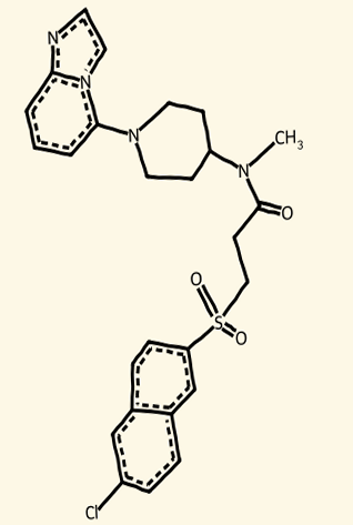 CN(C(=O)CCS(=O)(=O)c1ccc2cc(Cl)ccc2c1)C1CCN(c2cccc3nccn23)CC1